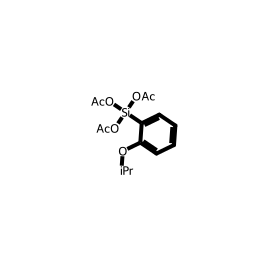 CC(=O)O[Si](OC(C)=O)(OC(C)=O)c1ccccc1OC(C)C